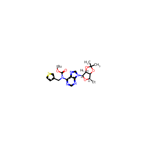 CC[C@H]1O[C@@H](n2cnc3c(N(Cc4ccsc4)C(=O)OC(C)(C)C)ncnc32)[C@H]2OC(C)(C)OC12